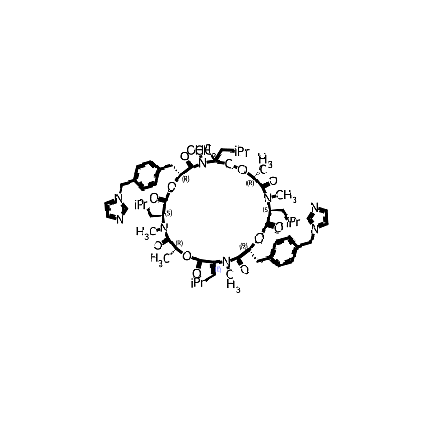 CC(C)/C=C1\C(=O)O[C@H](C)C(=O)N(C)[C@@H](CC(C)C)C(=O)O[C@H](Cc2ccc(Cn3ccnc3)cc2)C(=O)N(C)C(C=O)(CC(C)C)CO[C@H](C)C(=O)N(C)[C@@H](CC(C)C)C(=O)O[C@H](Cc2ccc(Cn3ccnc3)cc2)C(=O)N1C